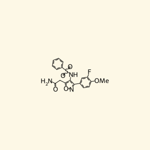 COc1ccc(-c2noc(CC(N)=O)c2NS(=O)(=O)c2ccccc2)cc1F